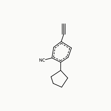 C#Cc1ccc(C2CCCC2)c(C#N)c1